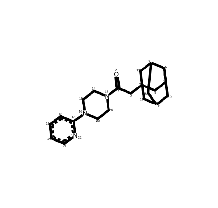 O=C(CC12CC3CC(CC(C3)C1)C2)N1CCN(c2ccccn2)CC1